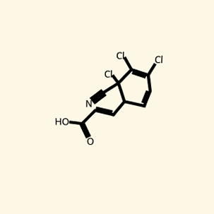 N#CC1(Cl)C(Cl)=C(Cl)C=CC1/C=C/C(=O)O